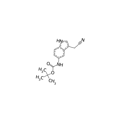 CC(C)(C)OC(=O)Nc1ccc2[nH]cc(CC#N)c2c1